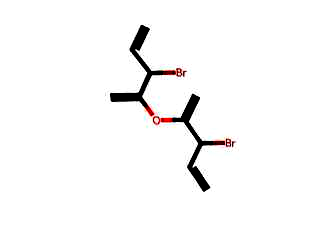 C=CC(Br)C(=C)OC(=C)C(Br)C=C